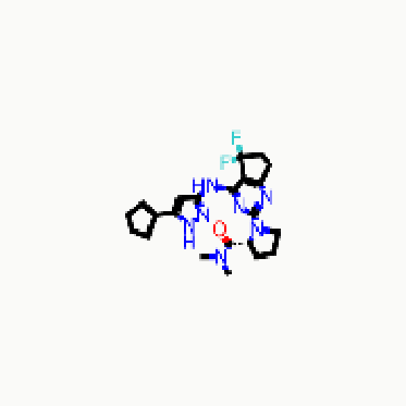 CN(C)C(=O)[C@H]1CCCN1c1nc2c(c(Nc3cc(C4CCCC4)[nH]n3)n1)C(F)(F)CC2